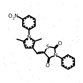 Cc1cc(C=C2SC(=O)N(c3ccccc3)C2=O)c(C)n1-c1cccc([N+](=O)[O-])c1